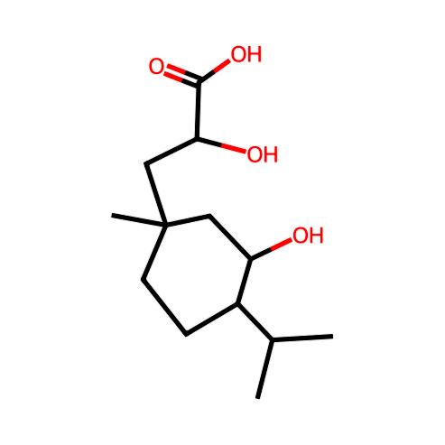 CC(C)C1CCC(C)(CC(O)C(=O)O)CC1O